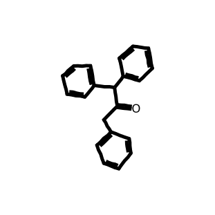 O=C(Cc1ccccc1)C(c1ccccc1)c1ccccc1